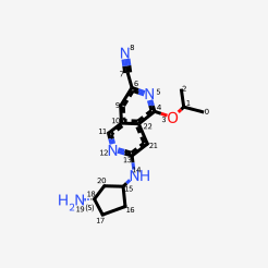 CC(C)Oc1nc(C#N)cc2cnc(NC3CC[C@H](N)C3)cc12